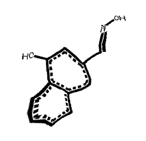 O/N=C/c1cc(O)c2ccccc2c1